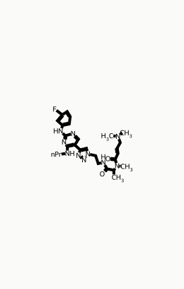 CCCNc1nc(Nc2cccc(F)c2)ncc1-c1cn(CCNC(=O)C(C)N(C)C(=O)C=CCN(C)C)nn1